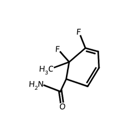 CC1(F)C(F)=CC=CC1C(N)=O